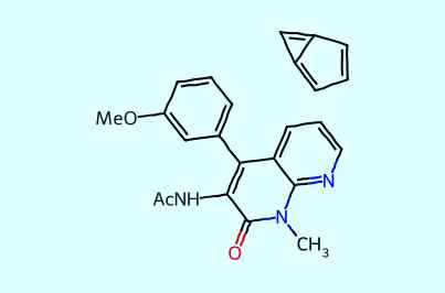 COc1cccc(-c2c(NC(C)=O)c(=O)n(C)c3ncccc23)c1.c1cc2cc-2c1